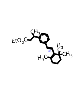 CCOC(=O)CC(C)c1cccc(/C=C/C2=C(C)CCCC2(C)C)c1